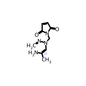 C=NN(/C=C(/C)N)CN1C(=O)C=CC1=O